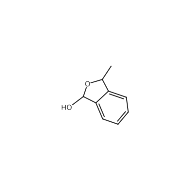 CC1OC(O)c2ccccc21